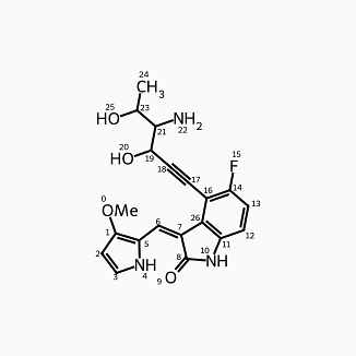 COc1cc[nH]c1/C=C1\C(=O)Nc2ccc(F)c(C#CC(O)C(N)C(C)O)c21